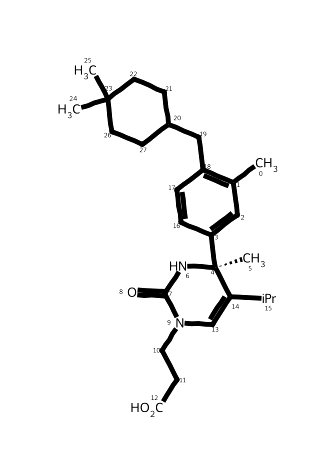 Cc1cc([C@]2(C)NC(=O)N(CCC(=O)O)C=C2C(C)C)ccc1CC1CCC(C)(C)CC1